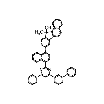 CC1(C)c2ccc(-c3ccc(-c4nc(-c5ccccc5)cc(-c5cccc(-c6ccccc6)c5)n4)c4ccccc34)cc2-c2ccc3ccccc3c21